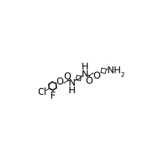 C[C@]1(N)C[C@H](OCC(=O)NC23CC(NC(=O)COc4ccc(Cl)c(F)c4)(C2)C3)C1